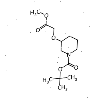 COC(=O)COC1CCCN(C(=O)OC(C)(C)C)C1